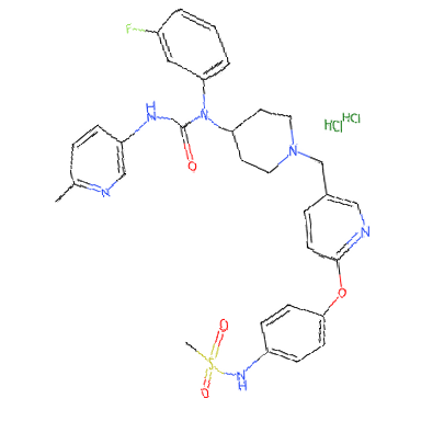 Cc1ccc(NC(=O)N(c2cccc(F)c2)C2CCN(Cc3ccc(Oc4ccc(NS(C)(=O)=O)cc4)nc3)CC2)cn1.Cl.Cl